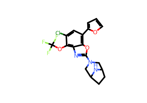 FC(F)(F)Oc1c(Cl)cc(-c2ccco2)c2oc(N3CC4CCC(C3)N4)nc12